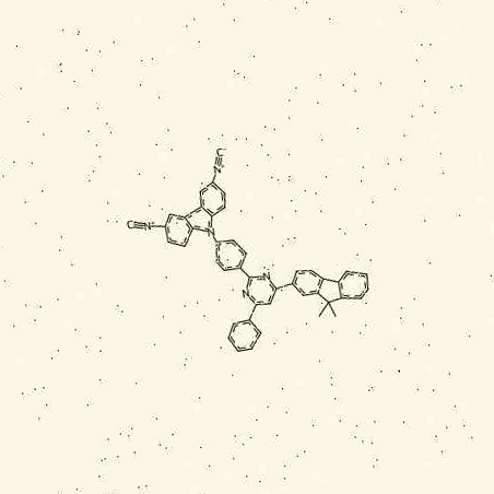 [C-]#[N+]c1ccc2c(c1)c1cc([N+]#[C-])ccc1n2-c1ccc(-c2nc(-c3ccccc3)cc(-c3ccc4c(c3)C(C)(C)c3ccccc3-4)n2)cc1